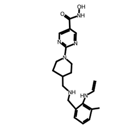 C=CNc1c(C)cccc1CNCC1CCN(c2ncc(C(=O)NO)cn2)CC1